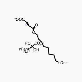 CCCCCC(O)(O)C(=O)O.CCCCCCCCCCCCCCCCCCOC(=O)/C=C/C(=O)[O-].[Na+]